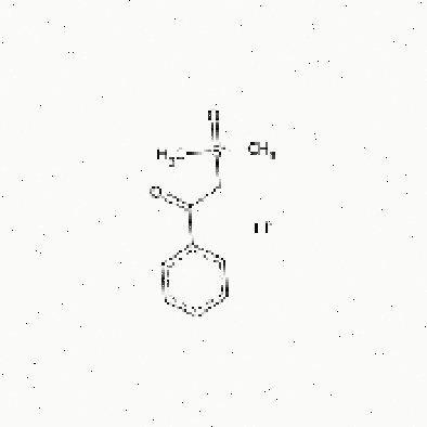 C[S+](C)(=O)CC(=O)c1ccccc1.[Cl-]